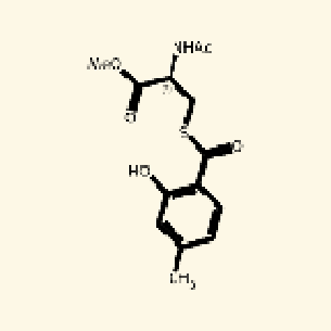 COC(=O)[C@H](CSC(=O)c1ccc(C)cc1O)NC(C)=O